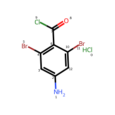 Cl.Nc1cc(Br)c(C(=O)Cl)c(Br)c1